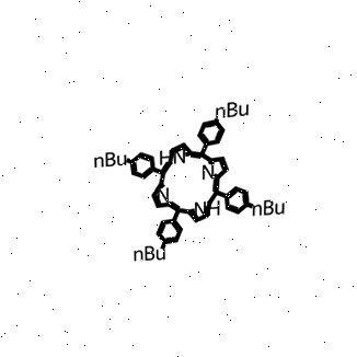 CCCCc1ccc(-c2c3nc(c(-c4ccc(CCCC)cc4)c4ccc([nH]4)c(-c4ccc(CCCC)cc4)c4nc(c(-c5ccc(CCCC)cc5)c5ccc2[nH]5)C=C4)C=C3)cc1